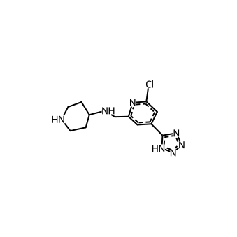 Clc1cc(-c2nnn[nH]2)cc(CNC2CCNCC2)n1